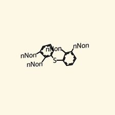 CCCCCCCCCc1cccc(Sc2cccc(CCCCCCCCC)c2CCCCCCCCC)c1CCCCCCCCC